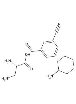 N#Cc1cccc(C=O)c1.NC1CCCCC1.NC[C@H](N)C(=O)O